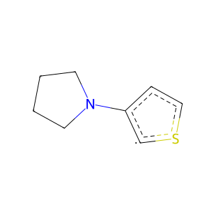 [c]1sccc1N1CCCC1